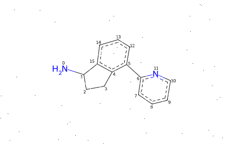 NC1CCc2c(-c3ccccn3)cccc21